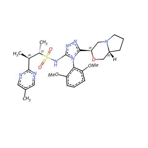 COc1cccc(OC)c1-n1c(NS(=O)(=O)[C@@H](C)[C@H](C)c2ncc(C)cn2)nnc1[C@H]1CN2CCC[C@@H]2CO1